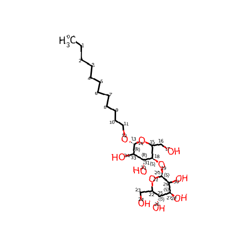 CCCCCCCCCCCCO[C@@H]1OC(CO)[C@@H](O[C@@H]2OC(CO)[C@@H](O)[C@H](O)C2O)[C@H](O)C1O